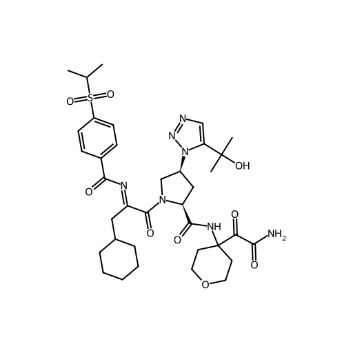 CC(C)S(=O)(=O)c1ccc(C(=O)/N=C(\CC2CCCCC2)C(=O)N2C[C@@H](n3nncc3C(C)(C)O)C[C@H]2C(=O)NC2(C(=O)C(N)=O)CCOCC2)cc1